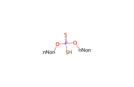 CCCCCCCCCOP(=S)(S)OCCCCCCCCC